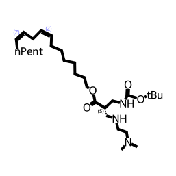 CCCCC/C=C\C/C=C\CCCCCCCOC(=O)[C@@H](CNCCN(C)C)CNC(=O)OC(C)(C)C